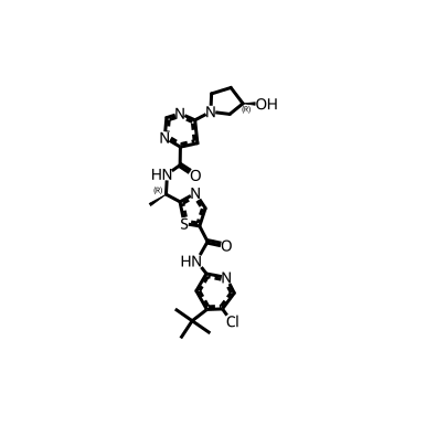 C[C@@H](NC(=O)c1cc(N2CC[C@@H](O)C2)ncn1)c1ncc(C(=O)Nc2cc(C(C)(C)C)c(Cl)cn2)s1